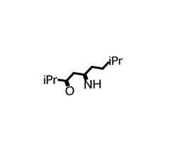 CC(C)CCC(=N)CC(=O)C(C)C